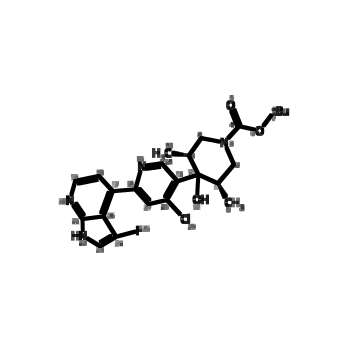 C[C@@H]1CN(C(=O)OC(C)(C)C)C[C@H](C)C1(O)c1cnc(-c2ccnc3[nH]cc(F)c23)cc1Cl